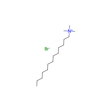 CCCCCCCCCCCCC[N+](C)(C)C.[Br-]